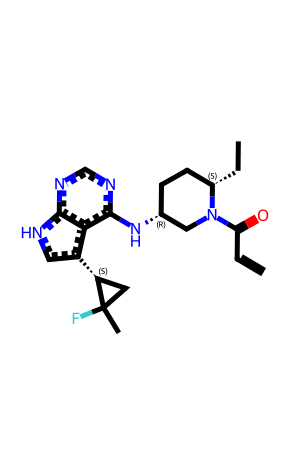 C=CC(=O)N1C[C@H](Nc2ncnc3[nH]cc([C@@H]4CC4(C)F)c23)CC[C@@H]1CC